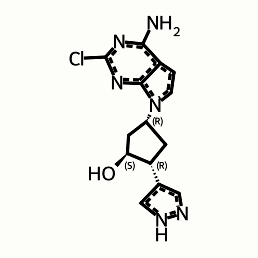 Nc1nc(Cl)nc2c1ccn2[C@@H]1C[C@H](c2cn[nH]c2)[C@@H](O)C1